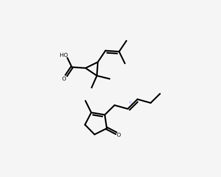 CC(C)=CC1C(C(=O)O)C1(C)C.CC/C=C/CC1=C(C)CCC1=O